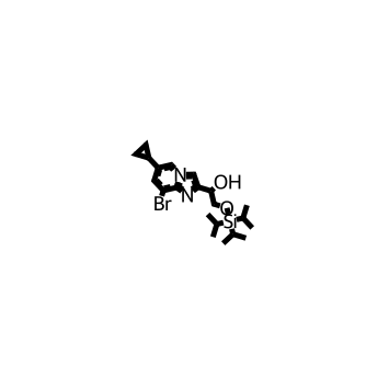 CC(C)[Si](OCC(O)c1cn2cc(C3CC3)cc(Br)c2n1)(C(C)C)C(C)C